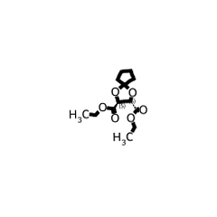 CCOC(=O)[C@H]1OC2(CCCC2)O[C@@H]1C(=O)OCC